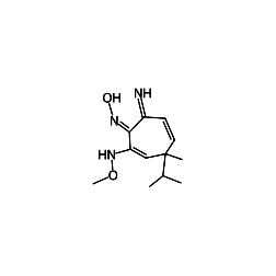 CONC1=CC(C)(C(C)C)C=CC(=N)/C1=N\O